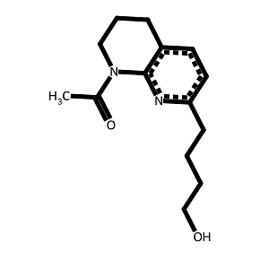 CC(=O)N1CCCc2ccc(CCCCO)nc21